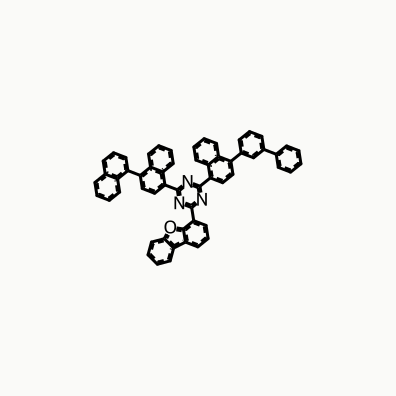 c1ccc(-c2cccc(-c3ccc(-c4nc(-c5ccc(-c6cccc7ccccc67)c6ccccc56)nc(-c5cccc6c5oc5ccccc56)n4)c4ccccc34)c2)cc1